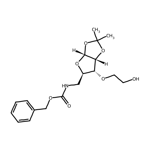 CC1(C)O[C@H]2O[C@H](CNC(=O)OCc3ccccc3)[C@@H](OCCO)[C@H]2O1